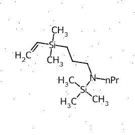 C=C[Si](C)(C)CCCN(CCC)[Si](C)(C)C